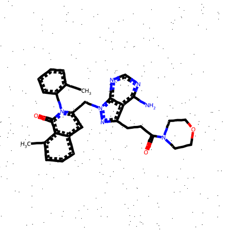 Cc1ccccc1-n1c(Cn2nc(CCC(=O)N3CCOCC3)c3c(N)ncnc32)cc2cccc(C)c2c1=O